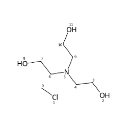 CCl.OCCN(CCO)CCO